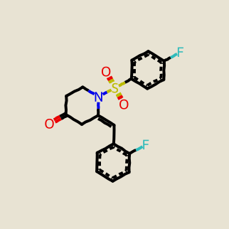 O=C1CCN(S(=O)(=O)c2ccc(F)cc2)C(=Cc2ccccc2F)C1